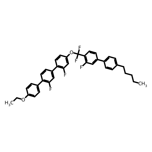 CCCCCc1ccc(-c2ccc(C(F)(F)Oc3ccc(-c4ccc(-c5ccc(OCC)cc5)c(F)c4)c(F)c3)c(F)c2)cc1